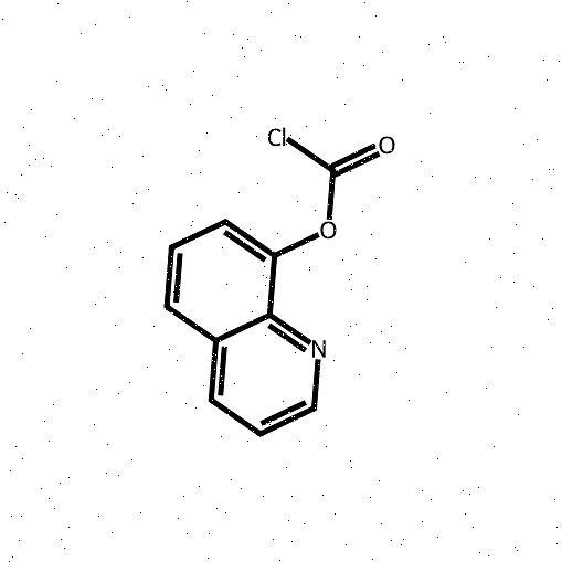 O=C(Cl)Oc1cccc2cccnc12